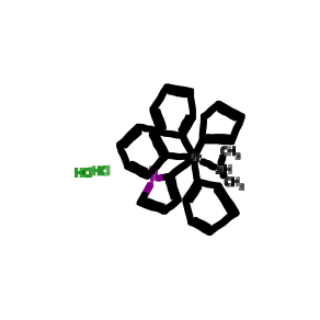 C[SiH](C)[Zr]([C]1=CC=CC1)([c]1ccccc1)([c]1ccccc1)([c]1ccccc1)[c]1ccc[pH]1.Cl.Cl